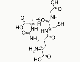 NC(=O)N[C@@H](CS)C(=O)O.N[C@@H](CCC(=O)N[C@@H](CS)C(=O)NCC(=O)O)C(=O)O